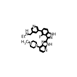 CCNCc1cncc(-c2ccc3[nH]nc(-c4nc5c(N6CCN(C)CC6)ccnc5[nH]4)c3c2F)c1